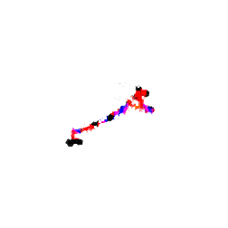 CCCOP(OC[C@H]1O[C@@H](n2ccc(NC(=O)c3ccc(CNC(=O)Cc4ccc(OC(=O)OCCN(C)C(=O)OCC5c6ccccc6-c6ccccc65)cc4)cc3)nc2=O)CC1O)OC1C[C@H](n2cc(C)c(=O)[nH]c2=O)O[C@@H]1COC(c1ccccc1)(c1ccc(OC)cc1)c1ccc(OC)cc1